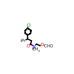 CC(C)C(CC(=O)N(C)CCOC=O)c1ccc(Cl)cc1